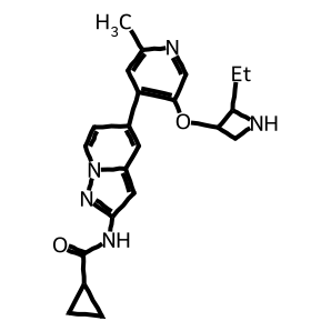 CCC1NCC1Oc1cnc(C)cc1-c1ccn2nc(NC(=O)C3CC3)cc2c1